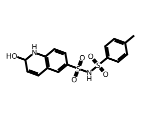 Cc1ccc(S(=O)(=O)NS(=O)(=O)c2ccc3c(c2)C=CC(O)N3)cc1